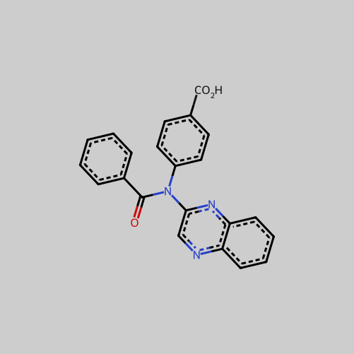 O=C(O)c1ccc(N(C(=O)c2ccccc2)c2cnc3ccccc3n2)cc1